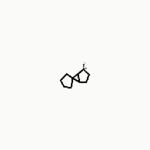 O[C@@H]1CCC2C1C21CCCC1